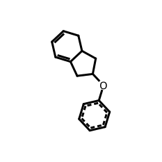 C1=CCC2CC(Oc3ccccc3)CC2=C1